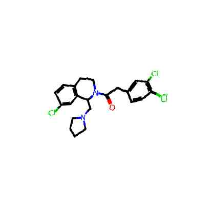 O=C(Cc1ccc(Cl)c(Cl)c1)N1CCc2ccc(Cl)cc2C1CN1CCCC1